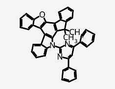 CC1(C)c2ccccc2-c2c1c1c(c3ccccc3n1-c1nc(-c3ccccc3)cc(-c3ccccc3)n1)c1c2oc2ccccc21